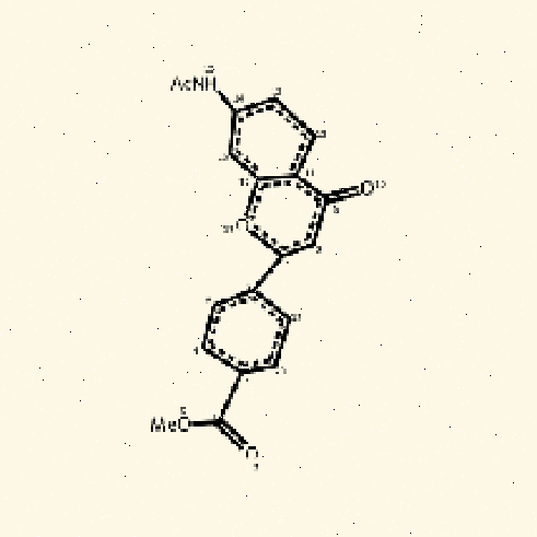 COC(=O)c1ccc(-c2cc(=O)c3ccc(NC(C)=O)cc3o2)cc1